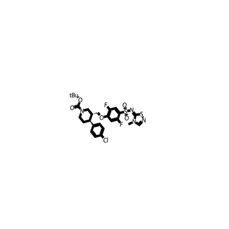 Cn1cns/c1=N/S(=O)(=O)c1cc(F)c(OC[C@H]2CN(C(=O)OC(C)(C)C)CC[C@@H]2c2ccc(Cl)cc2)cc1F